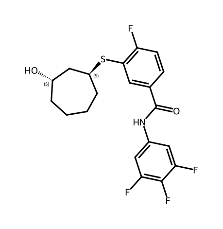 O=C(Nc1cc(F)c(F)c(F)c1)c1ccc(F)c(S[C@H]2CCCC[C@H](O)C2)c1